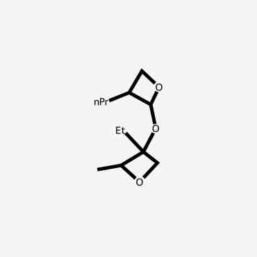 CCCC1COC1OC1(CC)COC1C